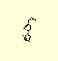 Cc1cn(-c2ccc(CO)cn2)nn1